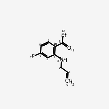 C=CCNc1cc(F)ccc1C(=O)CC